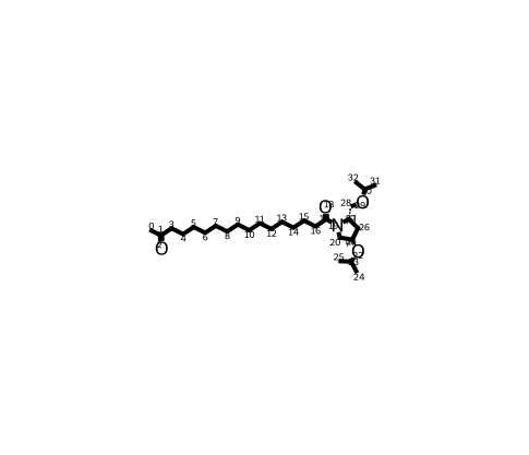 CC(=O)CCCCCCCCCCCCCCC(=O)N1C[C@H](OC(C)C)C[C@H]1COC(C)C